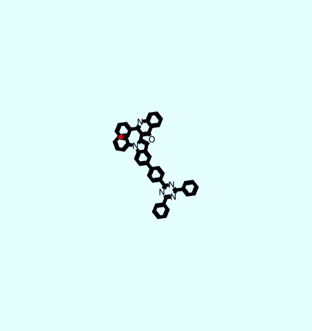 c1ccc(-c2nc(-c3ccccc3)nc(-c3ccc(-c4ccc5c(c4)c4oc6c7ccccc7nc(-c7ccccc7)c6c4n5-c4ccccc4)cc3)n2)cc1